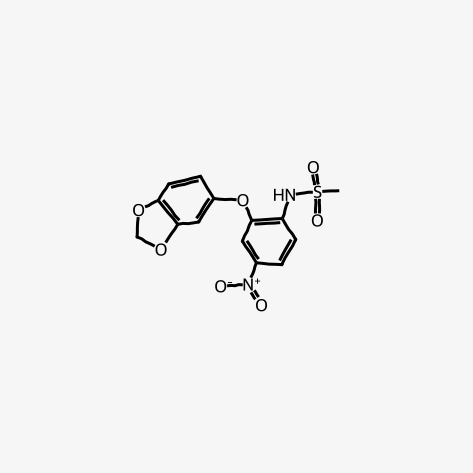 CS(=O)(=O)Nc1ccc([N+](=O)[O-])cc1Oc1ccc2c(c1)OCO2